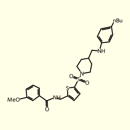 CCCCc1ccc(NCC2CCN(S(=O)(=O)c3ccc(CNC(=O)c4cccc(OC)c4)s3)CC2)cc1